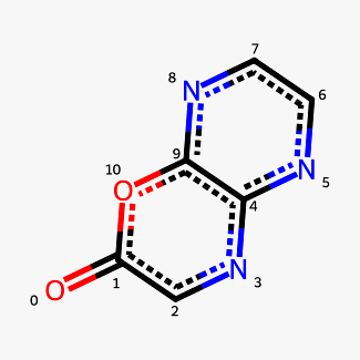 O=c1cnc2nccnc2o1